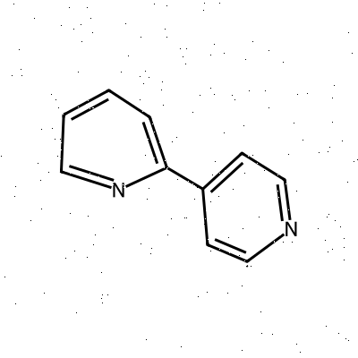 [c]1cc(-c2ccccn2)ccn1